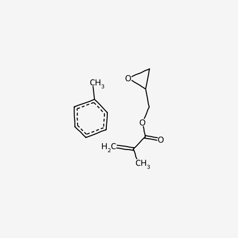 C=C(C)C(=O)OCC1CO1.Cc1ccccc1